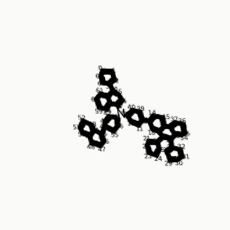 c1ccc(-c2ccc(N(c3ccc(-c4ccc5c(c4)c(-c4ccccc4)c(-c4ccccc4)c4ccccc45)cc3)c3ccc(-c4cccc5ccccc45)cc3)c3ccccc23)cc1